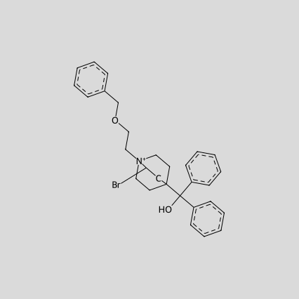 OC(c1ccccc1)(c1ccccc1)C12CC[N+](CCOCc3ccccc3)(CC1)C(Br)C2